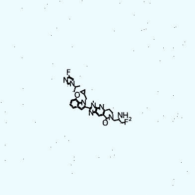 CC(COc1cccc2cc(-c3nc4cc5c(nc4n3C)CCN(CC(N)CF)C5=O)n(CC3CC3)c12)n1cnc(F)c1